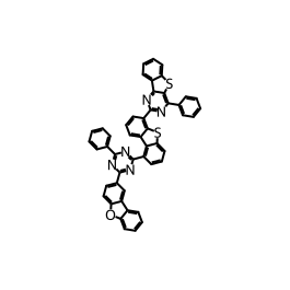 c1ccc(-c2nc(-c3ccc4oc5ccccc5c4c3)nc(-c3cccc4sc5c(-c6nc(-c7ccccc7)c7sc8ccccc8c7n6)cccc5c34)n2)cc1